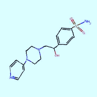 NS(=O)(=O)c1ccc(C(O)CN2CCN(c3ccncc3)CC2)cc1